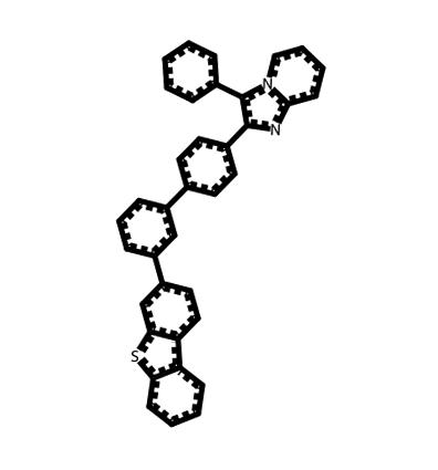 c1ccc(-c2c(-c3ccc(-c4cccc(-c5ccc6c(c5)sc5ccccc56)c4)cc3)nc3ccccn23)cc1